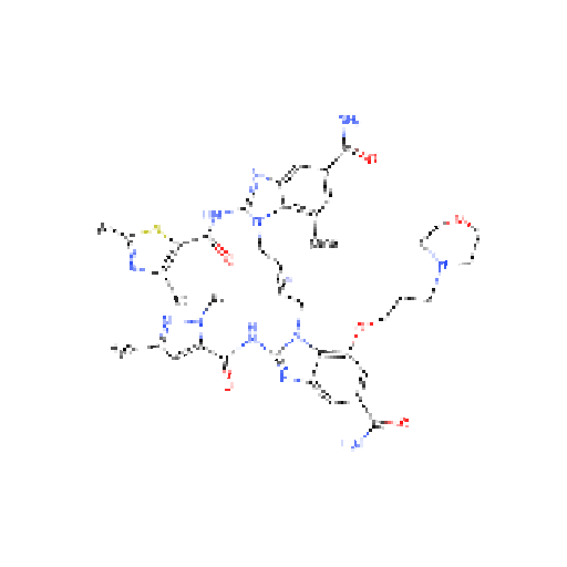 CCc1nc(C)sc1C(=O)Nc1nc2cc(C(N)=O)cc(OC)c2n1C/C=C/Cn1c(NC(=O)c2cc(C)nn2CC)nc2cc(C(N)=O)cc(OCCCN3CCOCC3)c21